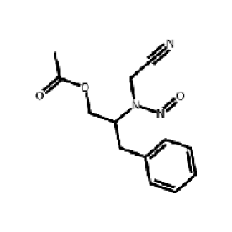 CC(=O)OCC(Cc1ccccc1)N(CC#N)N=O